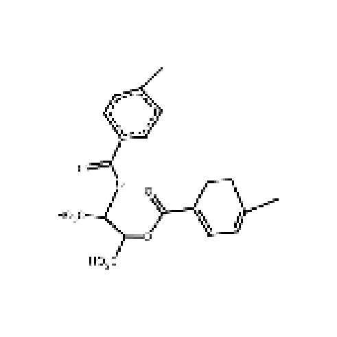 CC1=CC=C(C(=O)OC(C(=O)O)C(OC(=O)c2ccc(C)cc2)C(=O)O)CC1